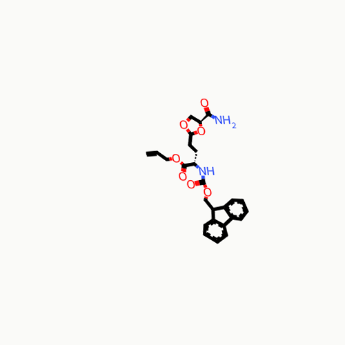 C=CCOC(=O)[C@H](CCC1OC[C@@H](C(N)=O)O1)NC(=O)OCC1c2ccccc2-c2ccccc21